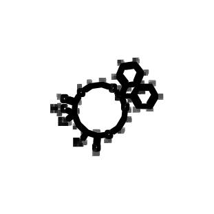 CCC1CC(C)(CC)C(=O)OCCO[Si](c2ccccc2)(c2ccccc2)OCCOC1=O